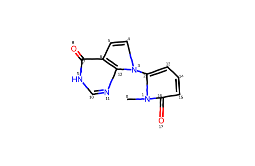 Cn1c(-n2ccc3c(=O)[nH]cnc32)cccc1=O